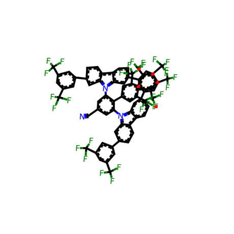 N#Cc1cc(-n2c3cc(-c4cc(C(F)(F)F)cc(C(F)(F)F)c4)ccc3c3ccc(-c4cc(C(F)(F)F)cc(C(F)(F)F)c4)cc32)c(-c2cc(C(F)(F)F)cc(C(F)(F)F)c2)c(-n2c3cc(-c4cc(C(F)(F)F)cc(C(F)(F)F)c4)ccc3c3ccc(-c4cc(C(F)(F)F)cc(C(F)(F)F)c4)cc32)c1